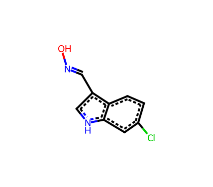 ON=Cc1c[nH]c2cc(Cl)ccc12